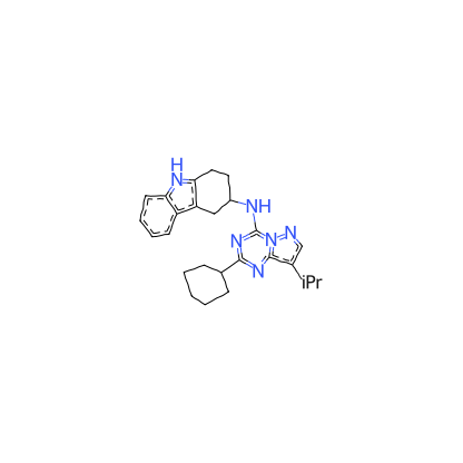 CC(C)c1cnn2c(NC3CCc4[nH]c5ccccc5c4C3)nc(C3CCCCC3)nc12